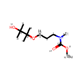 CCN(CCBOC(C)(C)C(C)(C)O)C(=O)OC(C)(C)C